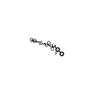 CC(C(=O)OCC(=O)OCCSSCCON=O)c1ccc(-c2ccccc2)c(F)c1